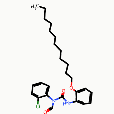 CCCCCCCCCCCCOc1ccccc1NC(=O)N(C=O)c1ccccc1Cl